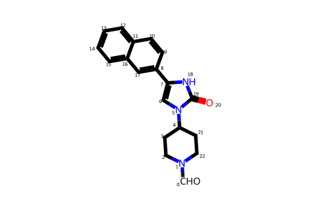 O=CN1CCC(n2cc(-c3ccc4ccccc4c3)[nH]c2=O)CC1